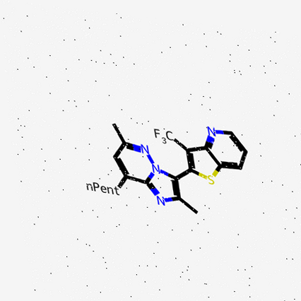 CCCCCc1cc(C)nn2c(-c3sc4cccnc4c3C(F)(F)F)c(C)nc12